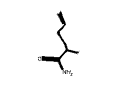 C=CCC(I)C(N)=O